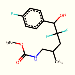 CC(CNC(=O)OC(C)(C)C)CC(F)(F)C(O)c1ccc(F)cc1